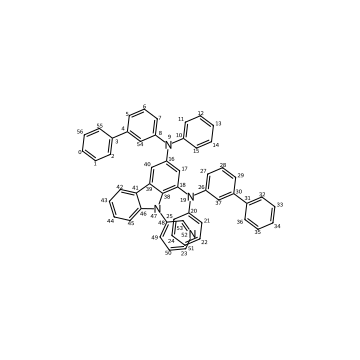 c1ccc(-c2cccc(N(c3ccccc3)c3cc(N(c4ccccc4)c4cccc(-c5ccccc5)c4)c4c(c3)c3ccccc3n4-c3cccnc3)c2)cc1